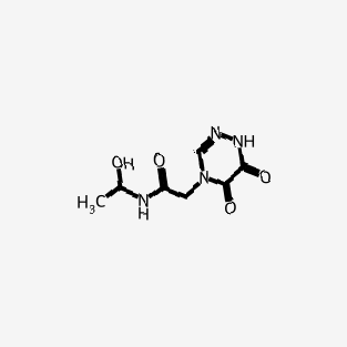 CC(O)NC(=O)Cn1[c]n[nH]c(=O)c1=O